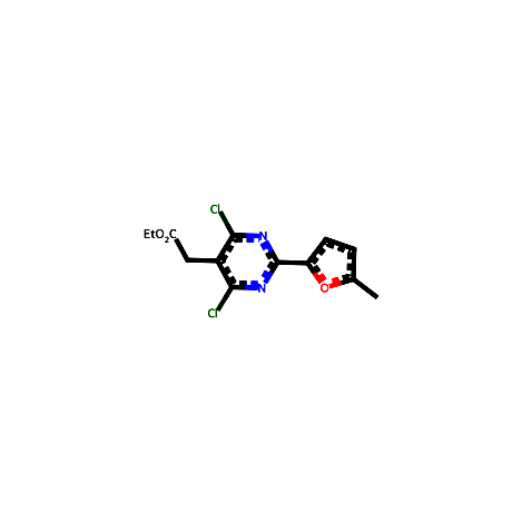 CCOC(=O)Cc1c(Cl)nc(-c2ccc(C)o2)nc1Cl